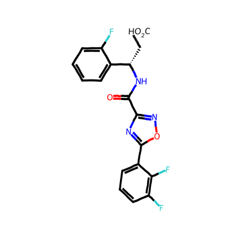 O=C(O)C[C@H](NC(=O)c1noc(-c2cccc(F)c2F)n1)c1ccccc1F